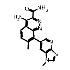 Cc1ccc2c(N)c(C(N)=O)nnc2c1-c1cnc2ncn(C)c2c1